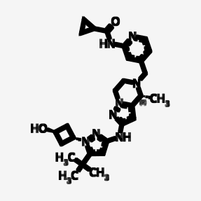 C[C@@H]1c2cc(Nc3cc(C(C)(C)C)n([C@H]4C[C@H](O)C4)n3)nn2CCN1Cc1ccnc(NC(=O)C2CC2)c1